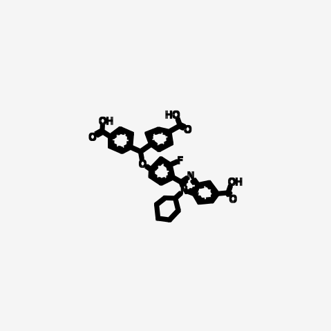 O=C(O)c1ccc(C(Oc2ccc(-c3nc4cc(C(=O)O)ccc4n3C3CCCCC3)c(F)c2)c2ccc(C(=O)O)cc2)cc1